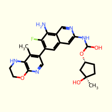 Cc1c(-c2cc3cc(NC(O)O[C@@H]4CC[C@@](C)(O)C4)ncc3c(N)c2F)cnc2c1NCCO2